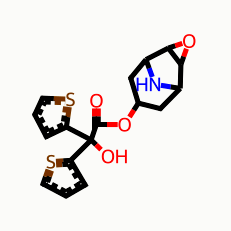 O=C(OC1CC2NC(C1)C1OC21)C(O)(c1cccs1)c1cccs1